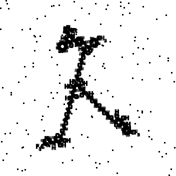 CCn1nccc1C(=O)N[C@H](C(=O)Nc1ccc(C[C@@H](NC(=O)COCCOCCOCC(=O)NC(C(O)CCC(=O)NCCOCCOCCOCCOC[C@H]2OC[C@H](Nc3cncc(C(F)(F)F)n3)[C@@H](O)[C@H]2O)C(O)CCC(=O)NCCOCCOCCOCCOC[C@H]2OC[C@H](Nc3cncc(C(F)(F)F)n3)[C@@H](O)[C@H]2O)C(=O)N2CCN(C)CC2)cc1)C1CCCCCC1